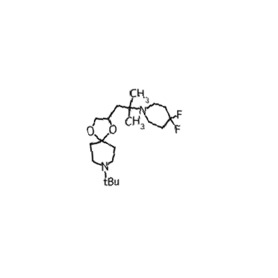 CC(C)(C)N1CCC2(CC1)OCC(CC(C)(C)N1CCC(F)(F)CC1)O2